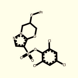 CC(C)OC1COc2c(S(=O)(=O)Oc3c(Cl)cc(Cl)cc3Cl)cnn2C1